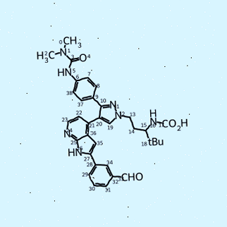 CN(C)C(=O)Nc1ccc(-c2nn(CCC(NC(=O)O)C(C)(C)C)cc2-c2ccnc3[nH]c(-c4cccc(C=O)c4)cc23)cc1